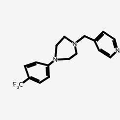 FC(F)(F)c1ccc(N2CCN(Cc3ccncc3)CC2)cc1